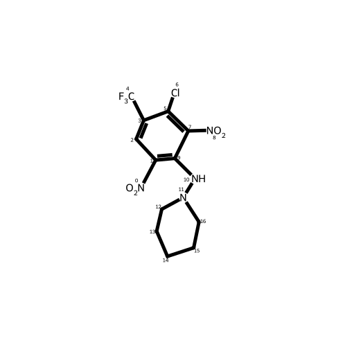 O=[N+]([O-])c1cc(C(F)(F)F)c(Cl)c([N+](=O)[O-])c1NN1CCCCC1